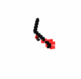 C=C=O.CCCCCCCC/C=C\CCCCCCCC(=O)OC[C@@H](O)[C@H]1OC[C@H](O)[C@H]1O